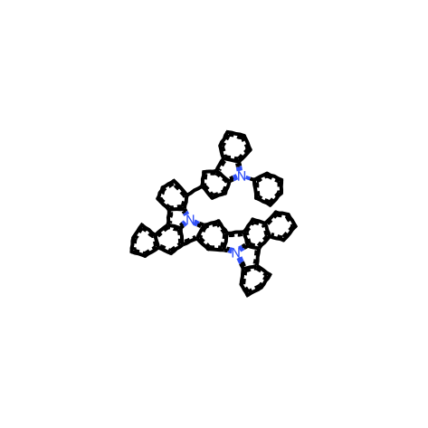 c1ccc(-n2c3ccccc3c3cc(-c4cccc5c6c7ccccc7cc7c8cc9c(cc8n(c45)c76)c4cc5ccccc5c5c6ccccc6n9c45)ccc32)cc1